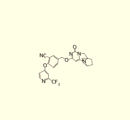 N#Cc1cc(COc2cc3n(c(=O)n2)CC24CCC(CC2)N34)ccc1Oc1ccnc(C(F)(F)F)c1